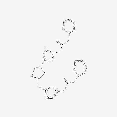 O=C(Cc1ccccc1)Nc1nnc(O[C@@H]2CCN(c3nnc(NC(=O)Cc4ccccc4)s3)C2)s1